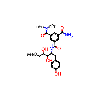 CCCN(CCC)C(=O)c1cc(C(N)=O)cc(C(=O)NC(Cc2ccc(O)cc2)C(O)C(O)COC)c1